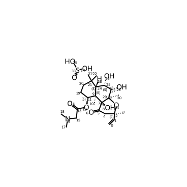 C=C[C@@]1(C)CC(=O)[C@]2(O)[C@@]3(C)[C@@H](OC(=O)CN(C)C)CCC(C)(C)[C@@H]3[C@H](O)[C@H](O)[C@@]2(C)O1.O=S(O)O